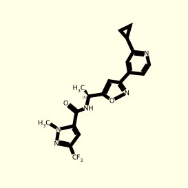 C[C@H](NC(=O)c1cc(C(F)(F)F)nn1C)c1cc(-c2ccnc(C3CC3)c2)no1